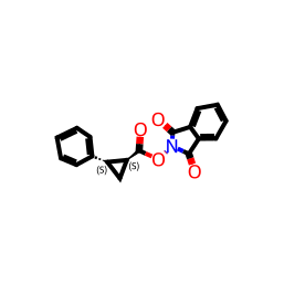 O=C(ON1C(=O)c2ccccc2C1=O)[C@H]1C[C@@H]1c1ccccc1